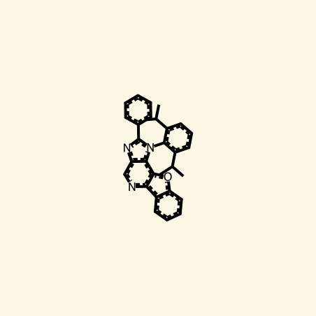 CC(C)c1cccc(C(C)C)c1-n1c(-c2ccccc2)nc2cnc3c4ccccc4oc3c21